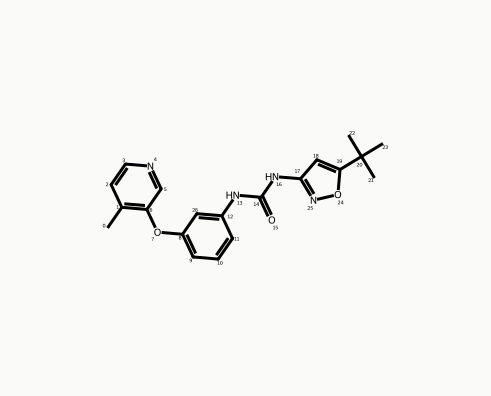 Cc1ccncc1Oc1cccc(NC(=O)Nc2cc(C(C)(C)C)on2)c1